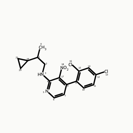 CC(CNc1nccc(-c2ccc(Cl)cc2Cl)c1[N+](=O)[O-])C1CC1